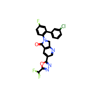 O=C1c2cc(-c3nnc(C(F)F)o3)cnc2CN1c1ccc(F)cc1-c1cccc(Cl)c1